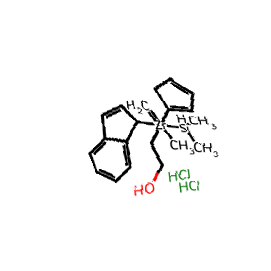 Cl.Cl.[CH2]=[Zr]([CH3])([CH2]CO)([C]1=CC=CC1)([CH]1C=Cc2ccccc21)[SiH](C)C